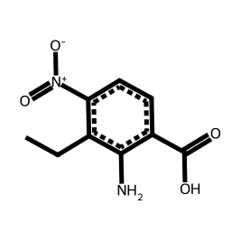 CCc1c([N+](=O)[O-])ccc(C(=O)O)c1N